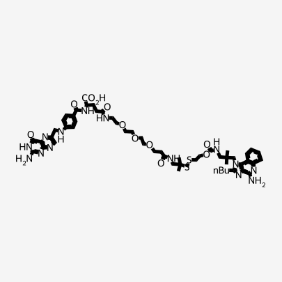 CCCCc1nc2c(N)nc3ccccc3c2n1CC(C)(C)CNC(=O)OCCSSC(C)(C)CNC(=O)CCOCCOCCOCCNC(=O)CCC(NC(=O)c1ccc(NCc2cnc3nc(N)[nH]c(=O)c3n2)cc1)C(=O)O